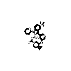 CC(C)(C)OC(=O)N1CCC2(CC2)C(Oc2cncc(-c3nn(C4CCCCO4)c4cc[c]([Sn]([CH3])([CH3])[CH3])cc34)n2)C1